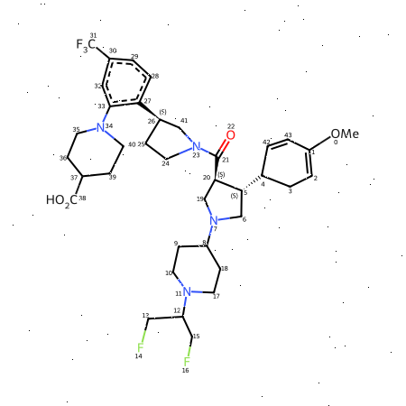 COC1=CCC([C@@H]2CN(C3CCN(C(CF)CF)CC3)C[C@H]2C(=O)N2CC[C@@H](c3ccc(C(F)(F)F)cc3N3CCC(C(=O)O)CC3)C2)C=C1